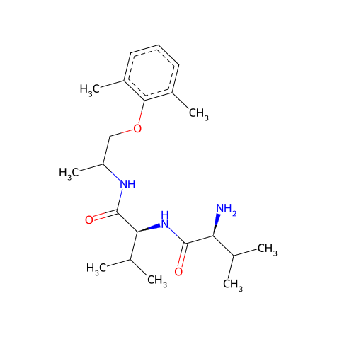 Cc1cccc(C)c1OCC(C)NC(=O)[C@@H](NC(=O)[C@@H](N)C(C)C)C(C)C